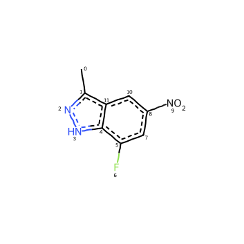 Cc1n[nH]c2c(F)cc([N+](=O)[O-])cc12